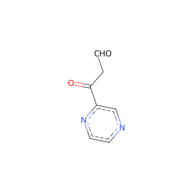 O=CCC(=O)c1cnccn1